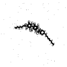 CCCCCCCCCC[C@H]1CC[C@H](C(=O)Oc2c(F)c(F)c(-c3c(F)c(F)c(OCCCCCCCC)c(F)c3F)c(F)c2F)CC1